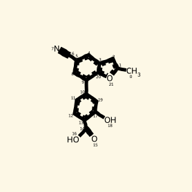 Cc1cc2cc(C#N)cc(-c3ccc(C(=O)O)c(O)c3)c2o1